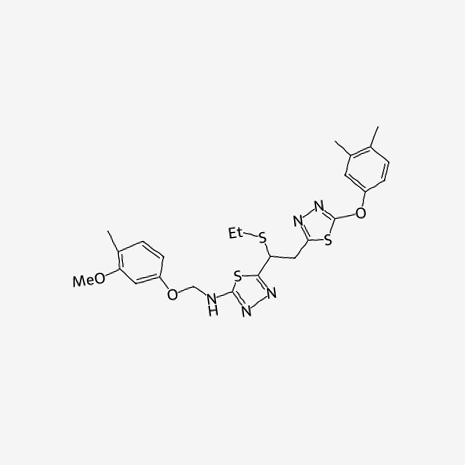 CCSC(Cc1nnc(Oc2ccc(C)c(C)c2)s1)c1nnc(NCOc2ccc(C)c(OC)c2)s1